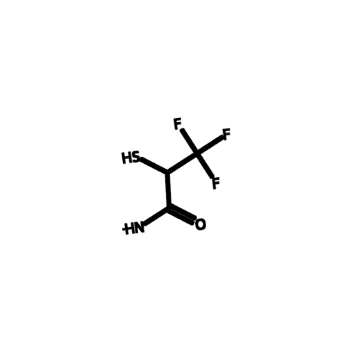 [NH]C(=O)C(S)C(F)(F)F